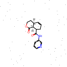 O=C(Nc1cccnc1)C1CC=C[C@@H]2CCOC(=O)[C@H]12